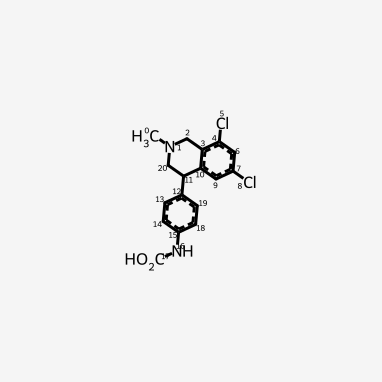 CN1Cc2c(Cl)cc(Cl)cc2C(c2ccc(NC(=O)O)cc2)C1